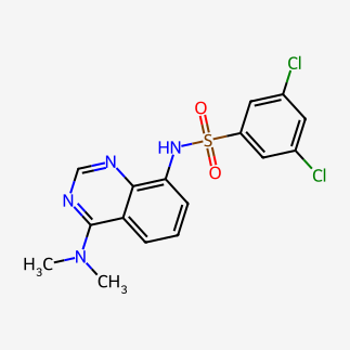 CN(C)c1ncnc2c(NS(=O)(=O)c3cc(Cl)cc(Cl)c3)cccc12